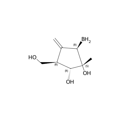 B[C@@H]1C(=C)[C@H](CO)[C@@H](O)[C@@]1(C)O